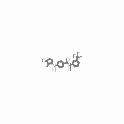 CC1=C(Nc2ccc(C(=O)Nc3cccc(C(F)(F)F)c3)cc2)CCC1=O